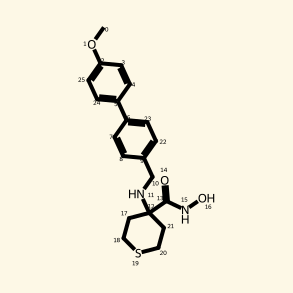 COc1ccc(-c2ccc(CNC3(C(=O)NO)CCSCC3)cc2)cc1